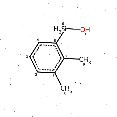 Cc1cccc([SiH2]O)c1C